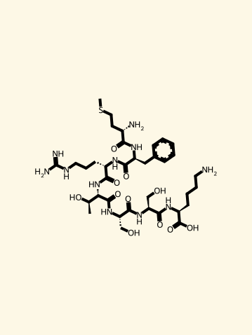 CSCC[C@H](N)C(=O)N[C@@H](Cc1ccccc1)C(=O)N[C@@H](CCCNC(=N)N)C(=O)N[C@H](C(=O)N[C@@H](CO)C(=O)N[C@@H](CO)C(=O)N[C@@H](CCCCN)C(=O)O)[C@@H](C)O